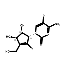 Nc1nc(=O)n([C@@H]2C(F)=C(CO)[C@@H](O)[C@H]2O)cc1Br